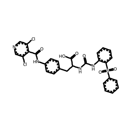 O=C(Nc1ccccc1S(=O)(=O)c1ccccc1)NC(Cc1ccc(NC(=O)c2c(Cl)cncc2Cl)cc1)C(=O)O